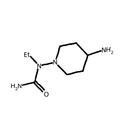 CCN(C(N)=O)N1CCC(N)CC1